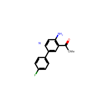 COC(=O)c1cc(-c2ccc(F)cc2)ccc1N.[N]